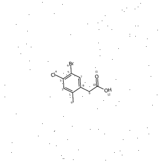 Cc1cc(Cl)c(Br)cc1CC(=O)O